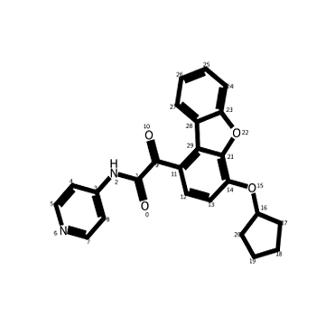 O=C(Nc1ccncc1)C(=O)c1ccc(OC2CCCC2)c2oc3ccccc3c12